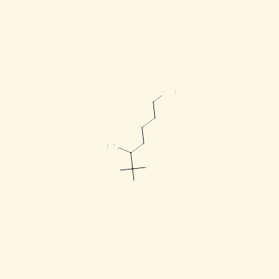 NC(CCCCO)C(F)(F)F